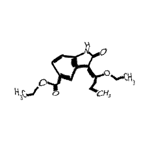 CCOC(=O)c1ccc2c(c1)/C(=C(\CC)OCC)C(=O)N2